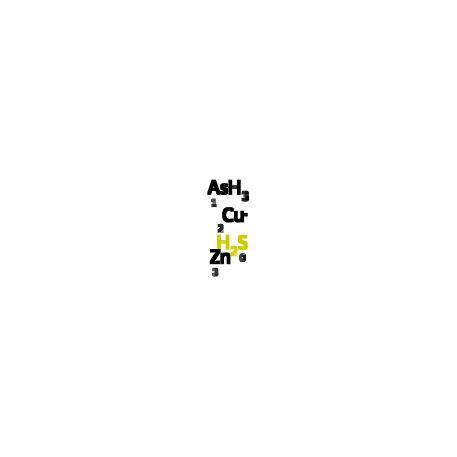 S.[AsH3].[Cu].[Zn]